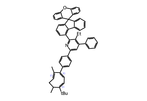 CCc1c(-c2ccccc2)cc(-c2ccc(C3=C/C=C(/C(C)(C)C)C(C)C\C=C\3C)cc2)nc1-c1cccc2c1-c1ccccc1C21c2ccccc2Oc2ccccc21